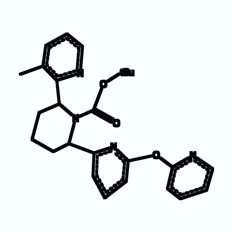 Cc1cccnc1C1CCCC(c2cccc(Oc3ccccn3)n2)N1C(=O)OC(C)(C)C